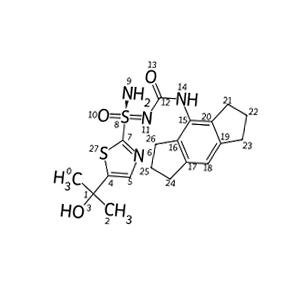 CC(C)(O)c1cnc([S@](N)(=O)=NC(=O)Nc2c3c(cc4c2CCC4)CCC3)s1